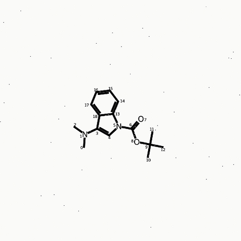 CN(C)c1cn(C(=O)OC(C)(C)C)c2ccccc12